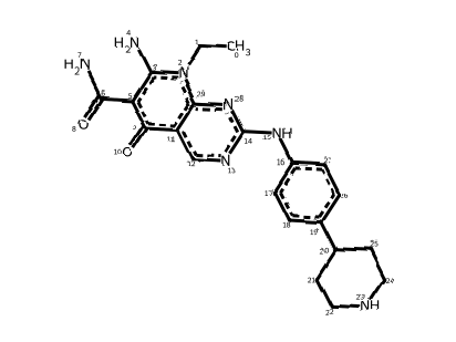 CCn1c(N)c(C(N)=O)c(=O)c2cnc(Nc3ccc(C4CCNCC4)cc3)nc21